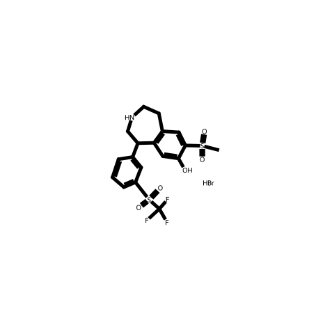 Br.CS(=O)(=O)c1cc2c(cc1O)C(c1cccc(S(=O)(=O)C(F)(F)F)c1)CNCC2